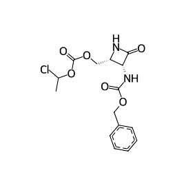 CC(Cl)OC(=O)OC[C@@H]1NC(=O)[C@@H]1NC(=O)OCc1ccccc1